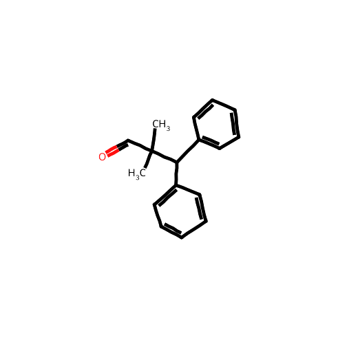 CC(C)(C=O)C(c1ccccc1)c1ccccc1